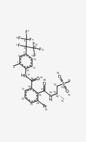 Cc1cc(C(F)(C(F)(F)F)C(F)(F)F)ccc1NC(=O)c1cccc(Br)c1C(=O)N[C@@H](C)CS(C)(=O)=O